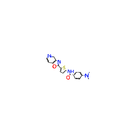 CN(C)c1ccc(C(=O)Nc2ccc(-c3nc4cnccc4o3)s2)cc1